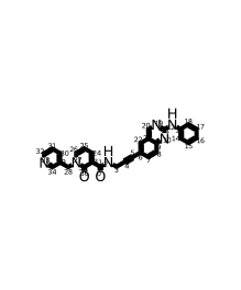 O=C(NCC#Cc1ccc2nc(Nc3ccccc3)ncc2c1)c1cccn(Cc2cccnc2)c1=O